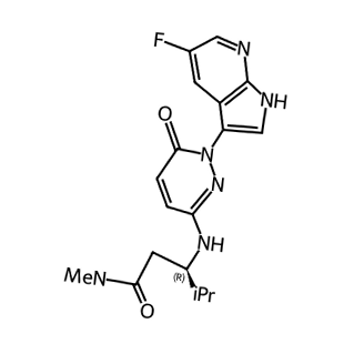 CNC(=O)C[C@@H](Nc1ccc(=O)n(-c2c[nH]c3ncc(F)cc23)n1)C(C)C